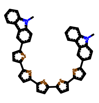 Cn1c2ccccc2c2cc(-c3ccc(-c4ccc(-c5ccc(-c6ccc(-c7ccc(-c8ccc9c(c8)c8ccccc8n9C)s7)s6)s5)s4)s3)ccc21